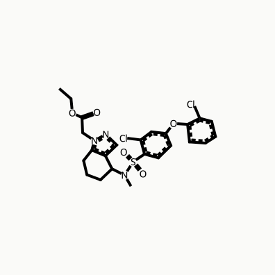 CCOC(=O)Cn1ncc2c1CCCC2N(C)S(=O)(=O)c1ccc(Oc2ccccc2Cl)cc1Cl